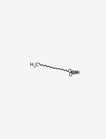 CCCCCCCCCCCCCCCCCCCOC(=O)O.[LiH]